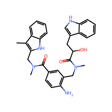 Cc1c(CN(C)C(=O)c2ccc(N)c(CN(C)C(=O)C(O)Cc3c[nH]c4ccccc34)c2)[nH]c2ccccc12